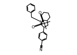 N#Cc1ccc(C2CC3CCCCC34C(=O)N(Cc3ccccc3)C(=O)C24)cc1